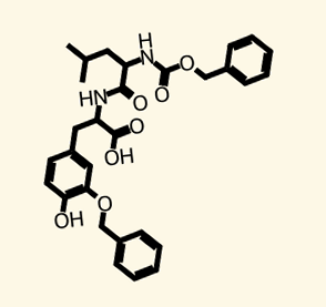 CC(C)CC(NC(=O)OCc1ccccc1)C(=O)NC(Cc1ccc(O)c(OCc2ccccc2)c1)C(=O)O